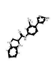 O=C(Nc1ccc(-c2cn[nH]c2)c(C(F)(F)F)c1)C1COc2ccccc2O1